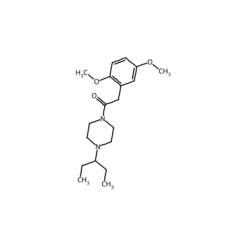 CCC(CC)N1CCN(C(=O)Cc2cc(OC)ccc2OC)CC1